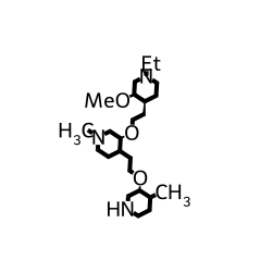 CCN1CC[C@@H](CCO[C@H]2CN(C)CCC2CCO[C@H]2CNCCC2C)[C@@H](OC)C1